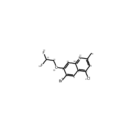 Cc1cc(Cl)c2cc(Br)c(OCC(F)F)cc2n1